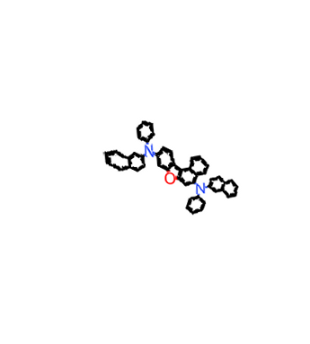 c1ccc(N(c2ccc3ccccc3c2)c2ccc3c(c2)oc2cc(N(c4ccccc4)c4ccc5ccccc5c4)c4ccccc4c23)cc1